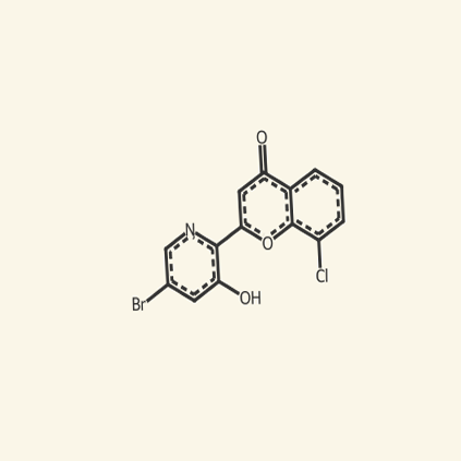 O=c1cc(-c2ncc(Br)cc2O)oc2c(Cl)cccc12